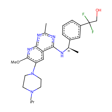 COc1nc2nc(C)nc(N[C@H](C)c3cccc(C(F)(F)CO)c3)c2cc1N1CCN(C(C)C)CC1